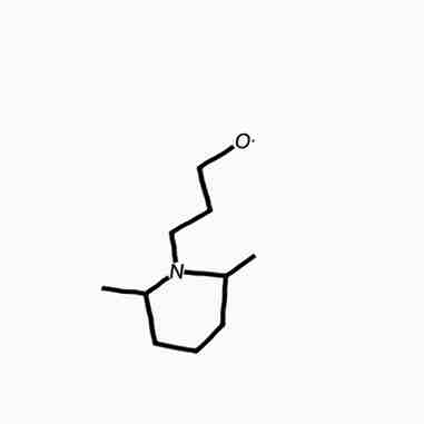 CC1CCCC(C)N1CCC[O]